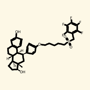 C[C@]12C[C@H](c3ccc(OCCCCCS(=O)(=O)Cc4c(F)c(F)c(F)c(F)c4F)cc3)[C@@H]3c4ccc(O)cc4CC[C@H]3[C@@H]1CC[C@@H]2O